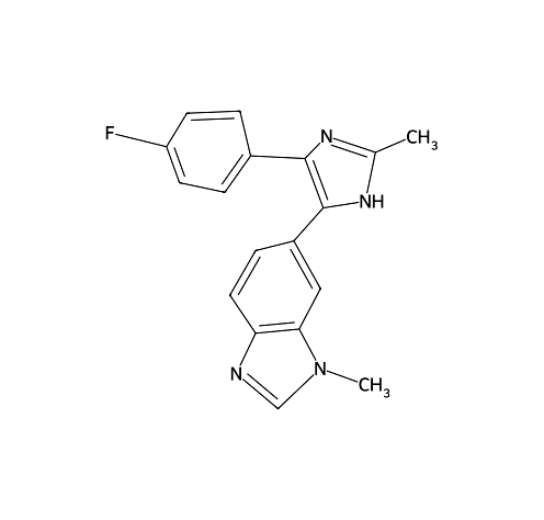 Cc1nc(-c2ccc(F)cc2)c(-c2ccc3ncn(C)c3c2)[nH]1